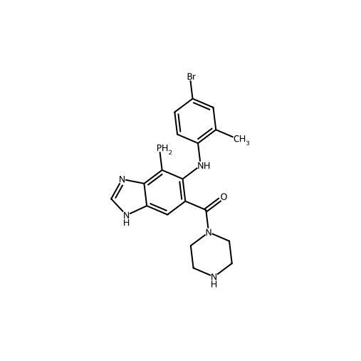 Cc1cc(Br)ccc1Nc1c(C(=O)N2CCNCC2)cc2[nH]cnc2c1P